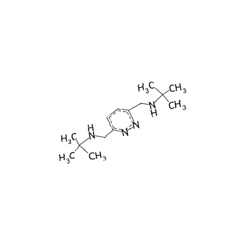 CC(C)(C)NCc1ccc(CNC(C)(C)C)nn1